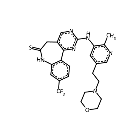 Cc1ncc(CCN2CCOCC2)cc1Nc1ncc2c(n1)-c1ccc(C(F)(F)F)cc1NC(=S)C2